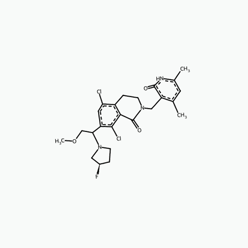 COCC(c1cc(Cl)c2c(c1Cl)C(=O)N(Cc1c(C)cc(C)[nH]c1=O)CC2)N1CC[C@@H](F)C1